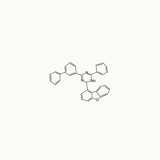 c1ccc(C2=NC(c3cccc(-c4ccccc4)c3)=NC(c3cccc4oc5ccccc5c34)N2)cc1